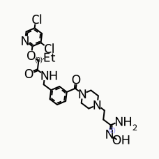 CC[C@@H](Oc1ncc(Cl)cc1Cl)C(=O)NCc1cccc(C(=O)N2CCN(CC/C(N)=N/O)CC2)c1